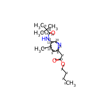 CCCCOC(=O)Cc1cc(C)c(NC(=O)C(C)(C)C)cn1